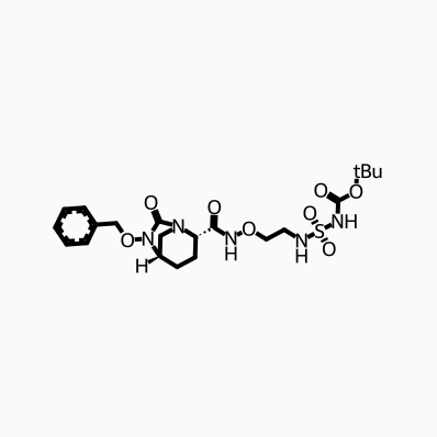 CC(C)(C)OC(=O)NS(=O)(=O)NCCONC(=O)[C@@H]1CC[C@H]2CN1C(=O)N2OCc1ccccc1